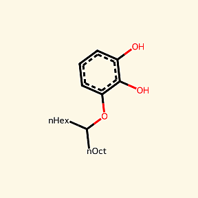 CCCCCCCCC(CCCCCC)Oc1cccc(O)c1O